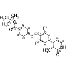 Cc1c(-c2cc(F)c(OCC3CCN(C(=O)OC(C)(C)C)CC3)c(F)c2)cc[nH]c1=O